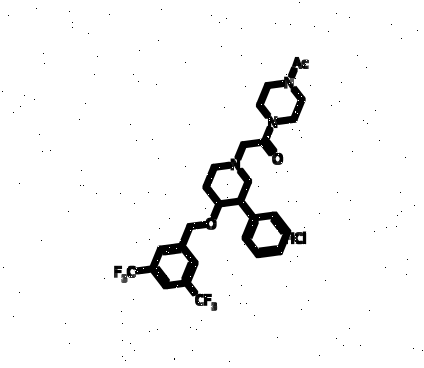 CC(=O)N1CCN(C(=O)CN2CCC(OCc3cc(C(F)(F)F)cc(C(F)(F)F)c3)C(c3ccccc3)C2)CC1.Cl